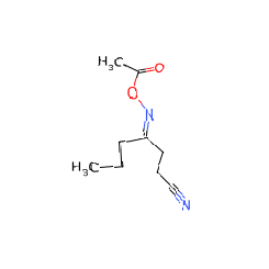 CCC/C(CCC#N)=N\OC(C)=O